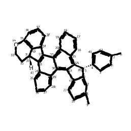 Cc1ccc([C@@H]2c3cc(C)ccc3-c3c2c2ccccc2c2c4c(c5ccccc5c32)[C@@H]2CCOc3cccc-4c32)cc1